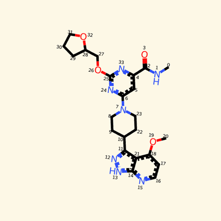 CNC(=O)c1cc(N2CCC(c3n[nH]c4nccc(OC)c34)CC2)nc(OCC2CCCO2)n1